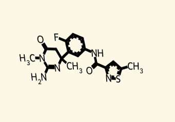 Cc1cc(C(=O)Nc2ccc(F)c(C3(C)CC(=O)N(C)C(N)=N3)c2)ns1